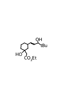 CCOC(=O)CC1(O)CCCC(C=CC(O)C(C)(C)C)C1